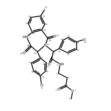 COC(=O)CCNC(=O)C(c1ccc(Cl)cc1)N1C(=O)c2cc(I)ccc2NC(=O)C1c1ccc(Cl)cc1